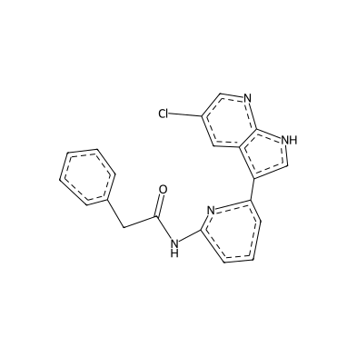 O=C(Cc1ccccc1)Nc1cccc(-c2c[nH]c3ncc(Cl)cc23)n1